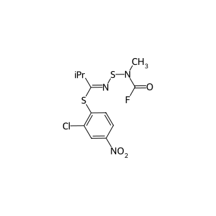 CC(C)C(=NSN(C)C(=O)F)Sc1ccc([N+](=O)[O-])cc1Cl